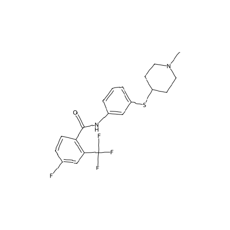 CN1CCC(Sc2cccc(NC(=O)c3ccc(F)cc3C(F)(F)F)c2)CC1